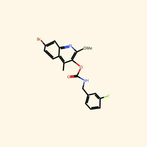 COc1nc2cc(Br)ccc2c(C)c1OC(=O)NCc1cccc(F)c1